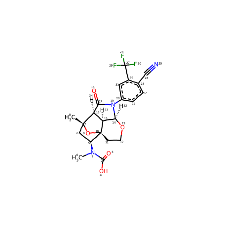 CN(C(=O)O)[C@H]1C[C@@]2(C)O[C@@]13CCO[C@H]1[C@@H]3[C@@H]2C(=O)N1c1ccc(C#N)c(C(F)(F)F)c1